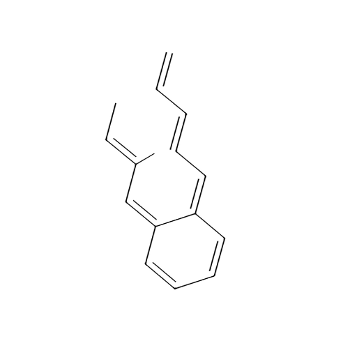 C=C/C=C/C=c1/cccc/c1=C/C(C)=C/C